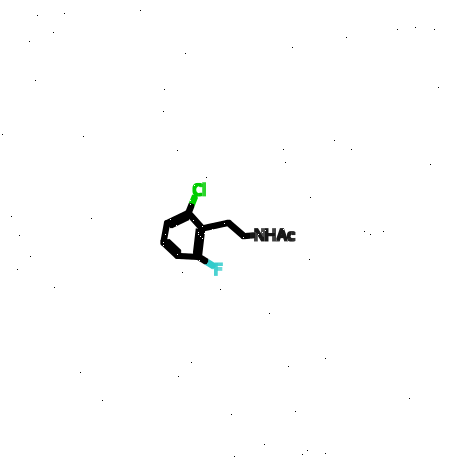 CC(=O)NCCc1c(F)cccc1Cl